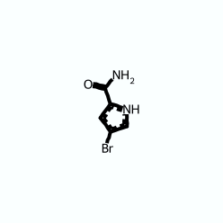 NC(=O)c1cc(Br)c[nH]1